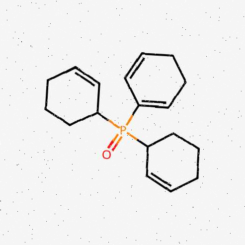 O=P(C1=CCCC=C1)(C1C=CCCC1)C1C=CCCC1